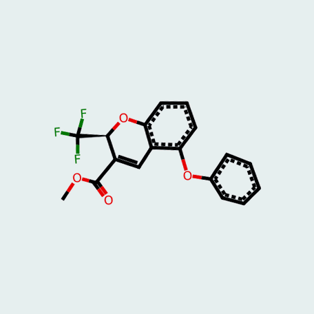 COC(=O)C1=Cc2c(Oc3ccccc3)cccc2O[C@@H]1C(F)(F)F